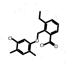 CCc1cccc(C(=O)Cl)c1COc1cc(Cl)c(C)cc1C